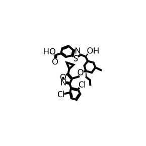 CCC[C@]1(OCc2c(-c3c(Cl)cccc3Cl)noc2C2CC2)CC(C)CC([C@H](O)c2nc3ccc(C(=O)O)cc3s2)C1